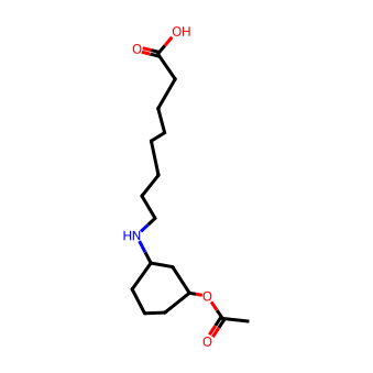 CC(=O)OC1CCCC(NCCCCCCCC(=O)O)C1